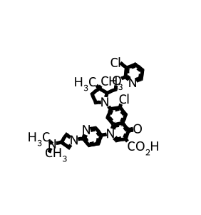 CN(C)C1CN(c2ccc(-n3cc(C(=O)O)c(=O)c4cc(Cl)c(N5CCC(C)(C)C5COc5ncccc5Cl)cc43)cn2)C1